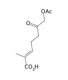 CC(=O)OCC(=O)CCC=C(C)C(=O)O